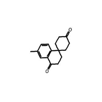 Cc1ccc2c(c1)C(=O)CCC21CCC(=O)CC1